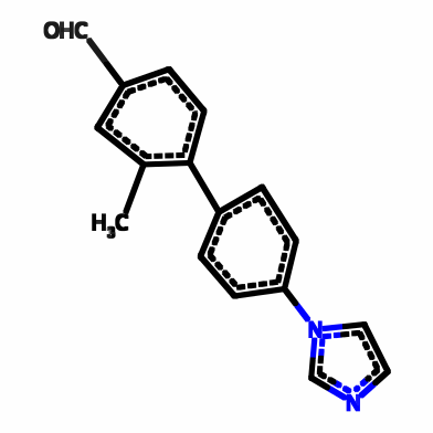 Cc1cc(C=O)ccc1-c1ccc(-n2ccnc2)cc1